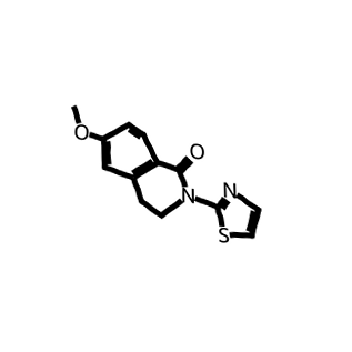 COc1ccc2c(c1)CCN(c1nccs1)C2=O